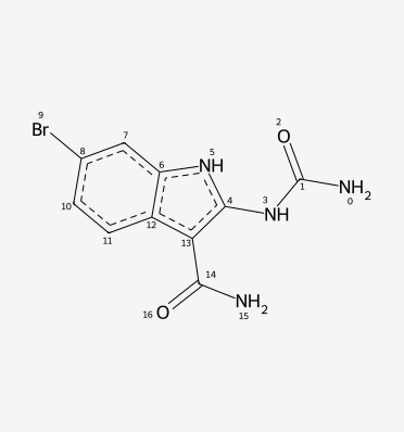 NC(=O)Nc1[nH]c2cc(Br)ccc2c1C(N)=O